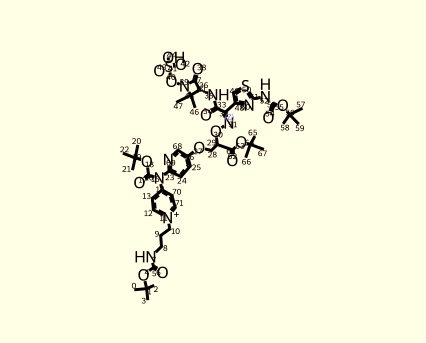 CC(C)(C)OC(=O)NCCC[n+]1ccc(N(C(=O)OC(C)(C)C)c2ccc(OCC(O/N=C(\C(=O)N[C@@H]3C(=O)N(OS(=O)(=O)O)C3(C)C)c3csc(NC(=O)OC(C)(C)C)n3)C(=O)OC(C)(C)C)cn2)cc1